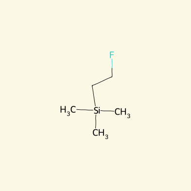 C[Si](C)(C)CCF